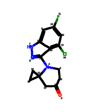 O=C1CCN(c2n[nH]c3cc(F)cc(Cl)c23)C2(CC2)C1